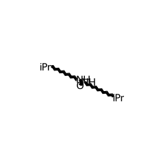 CC(C)CCCCCCCCCCNC(=O)NCCCCCCCCCCC(C)C